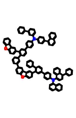 c1ccc(-c2cccc(N(c3ccc(-c4ccc(-c5cccc(-c6ccc7oc8ccc(-c9cc(-c%10ccc(N(c%11cccc%12ccccc%11%12)c%11ccc(-c%12ccccc%12)c%12ccccc%11%12)cc%10)ccc9-c9ccccc9)cc8c7c6)c5)c(-c5ccc6oc7ccccc7c6c5)c4)cc3)c3ccc(-c4cccc5ccccc45)cc3)c2)cc1